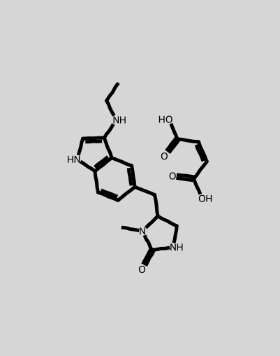 CCNc1c[nH]c2ccc(CC3CNC(=O)N3C)cc12.O=C(O)/C=C\C(=O)O